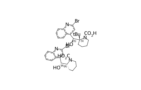 CC(C)(C)[C@]1([C@@H](O)c2cc(Br)nc3ccccc23)CCCCN1C(=O)O.O=C(O)N1CCCC[C@@H]1[C@H](O)c1cc(Br)nc2ccccc12